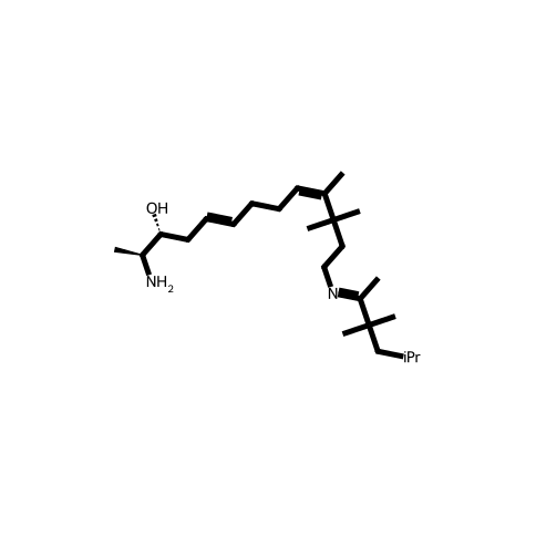 CC(=CCC/C=C/C[C@@H](O)[C@H](C)N)C(C)(C)CC/N=C(\C)C(C)(C)CC(C)C